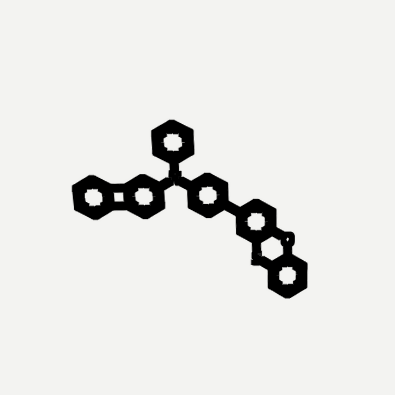 c1ccc(N(c2ccc(-c3ccc4c(c3)Sc3ccccc3O4)cc2)c2ccc3c(c2)-c2ccccc2-3)cc1